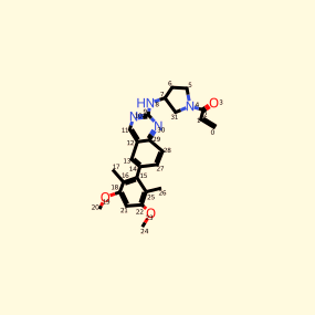 C=CC(=O)N1CCC(Nc2ncc3cc(-c4c(C)c(OC)cc(OC)c4C)ccc3n2)C1